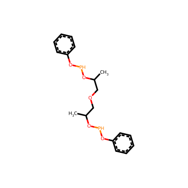 CC(COCC(C)OPOc1ccccc1)OPOc1ccccc1